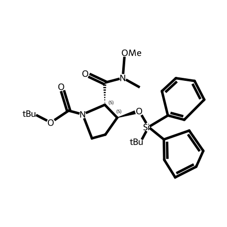 CON(C)C(=O)[C@@H]1[C@@H](O[Si](c2ccccc2)(c2ccccc2)C(C)(C)C)CCN1C(=O)OC(C)(C)C